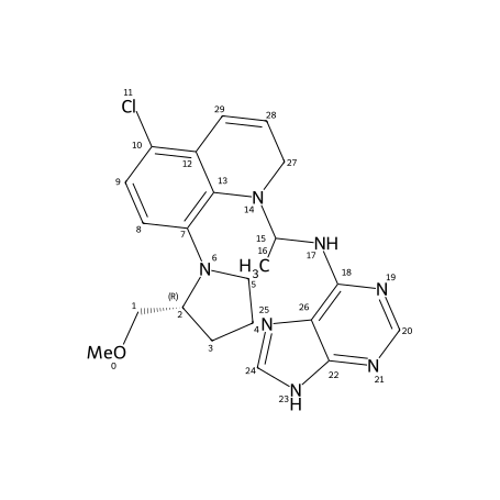 COC[C@H]1CCCN1c1ccc(Cl)c2c1N(C(C)Nc1ncnc3[nH]cnc13)CC=C2